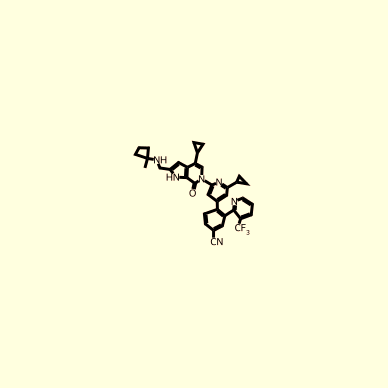 CC1(NCc2cc3c(C4CC4)cn(-c4cc(-c5ccc(C#N)cc5-c5ncccc5C(F)(F)F)cc(C5CC5)n4)c(=O)c3[nH]2)CCC1